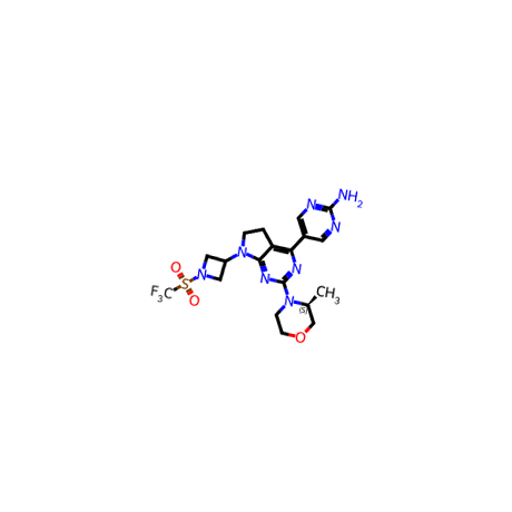 C[C@H]1COCCN1c1nc(-c2cnc(N)nc2)c2c(n1)N(C1CN(S(=O)(=O)C(F)(F)F)C1)CC2